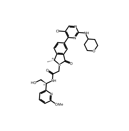 COc1cccc([C@@H](CO)NC(=O)CN2C(=O)c3cc(-c4nc(NC5CCOCC5)ncc4Cl)ccc3[C@H]2C)n1